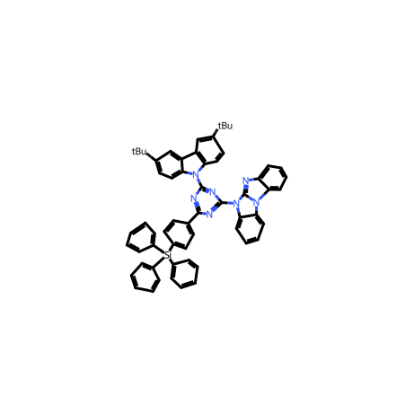 CC(C)(C)c1ccc2c(c1)c1cc(C(C)(C)C)ccc1n2-c1nc(-c2ccc([Si](c3ccccc3)(c3ccccc3)c3ccccc3)cc2)nc(-n2c3ccccc3n3c4ccccc4nc23)n1